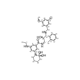 CCNc1cc(C(=O)N[C@@H](Cc2ccccc2)[C@@H](O)CNCc2cc(Cl)cc(OC)c2)cc(N2CCCCS2(O)O)c1